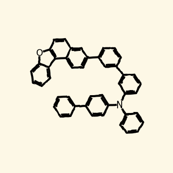 c1ccc(-c2ccc(N(c3ccccc3)c3cccc(-c4cccc(-c5ccc6c(ccc7oc8ccccc8c76)c5)c4)c3)cc2)cc1